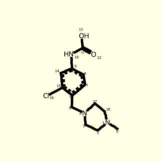 CN1CCN(Cc2ccc(NC(=O)O)cc2Cl)CC1